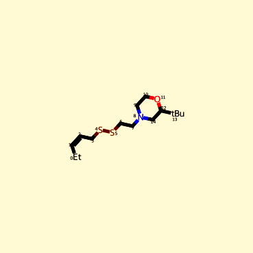 CC/C=C\CSSCCN1CCOC(C(C)(C)C)C1